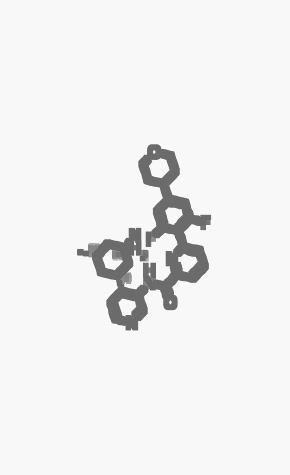 C[C@@H]1C[C@@H](N)C[C@H](c2ccncc2NC(=O)c2cccc(-c3c(F)cc(C4CCOCC4)cc3F)n2)C1